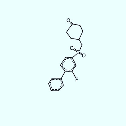 O=C1CCC(CS(=O)(=O)c2ccc(-c3ccccc3)c(F)c2)CC1